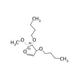 CCCCOC1C=CO[C@H](OC)[C@@H]1OCCCC